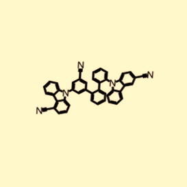 N#Cc1cc(-c2ccccc2-c2ccccc2-n2c3ccccc3c3cc(C#N)ccc32)cc(-n2c3ccccc3c3c(C#N)cccc32)c1